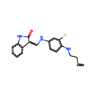 COCCNc1ccc(NC=C2C(=O)Nc3ccccc32)cc1F